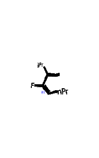 C=C(/C(F)=C\CCC)C(C)C